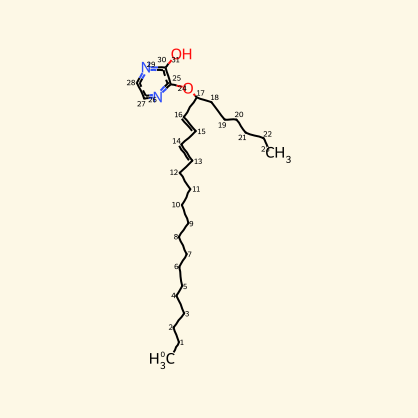 CCCCCCCCCCCCC/C=C/C=C/C(CCCCCC)Oc1nccnc1O